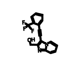 OCc1nc2ccccn2c1C#Cc1ccccc1C(F)(F)F